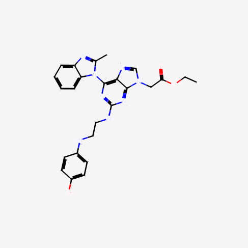 CCOC(=O)Cn1cnc2c(-n3c(C)nc4ccccc43)nc(NCCNc3ccc(O)cc3)nc21